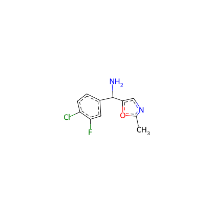 Cc1ncc(C(N)c2ccc(Cl)c(F)c2)o1